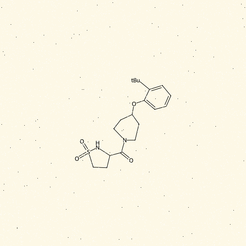 CC(C)(C)c1ccccc1OC1CCN(C(=O)C2CCS(=O)(=O)N2)CC1